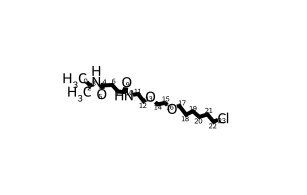 CC(C)NC(=O)CCC(=O)NCCOCCOCCCCCCCl